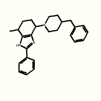 CC1CCC(N2CCC(Cc3ccccc3)CC2)c2nc(-c3ccccc3)[nH]c21